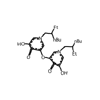 CCCCC(CC)Cn1cc(O)c(=O)c(Oc2cn(CC(CC)CCCC)cc(O)c2=O)c1